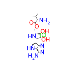 CC(C)[C@H](N)C(=O)OC[C@H]1N[C@@H](c2c[nH]c3c(N)ncnc23)[C@H](O)[C@@H]1O.Cl